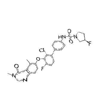 Cc1c(Oc2c(F)ccc(-c3ccc(NS(=O)(=O)N4CC[C@@H](F)C4)cc3)c2Cl)ccc2ncn(C)c(=O)c12